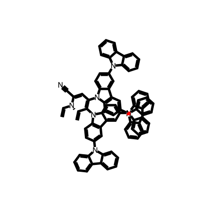 C=C/C(=C(\C=C(\C#N)N(C)C=C)n1c2ccc(-n3c4ccccc4c4ccccc43)cc2c2cc(-n3c4ccccc4c4ccccc43)ccc21)n1c2ccc(-n3c4ccccc4c4ccccc43)cc2c2cc(-n3c4ccccc4c4ccccc43)ccc21